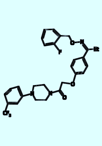 CCC(=NOCc1ccccc1F)c1ccc(OCC(=O)N2CCN(c3cccc(C(F)(F)F)c3)CC2)cc1